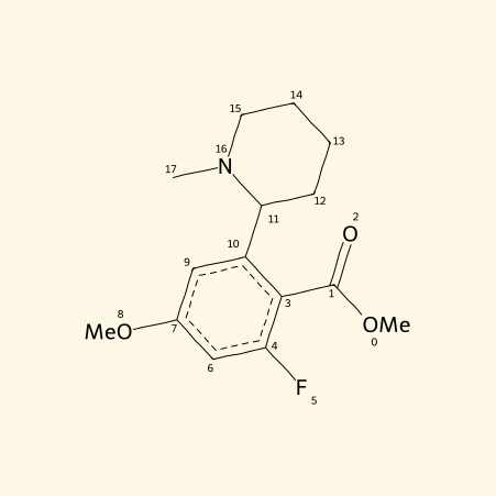 COC(=O)c1c(F)cc(OC)cc1C1CCCCN1C